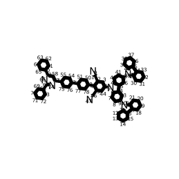 N#Cc1cc(-n2c3ccc(-n4c5ccccc5c5ccccc54)cc3c3cc(-n4c5ccccc5c5ccccc54)ccc32)cc(C#N)c1-c1ccc(-c2ccc(-c3cc(-c4ccccc4)nc(-c4ccccc4)n3)cc2)cc1